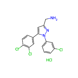 Cl.NCc1cc(-c2ccc(Cl)c(Cl)c2)n(-c2cccc(Cl)c2)n1